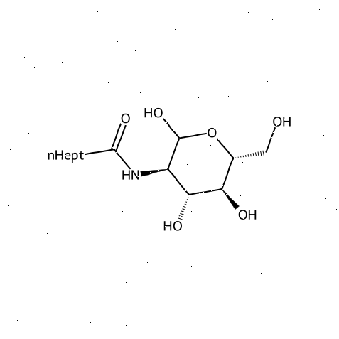 CCCCCCCC(=O)N[C@H]1C(O)O[C@H](CO)[C@@H](O)[C@@H]1O